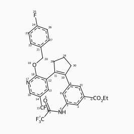 CCOC(=O)c1cc(NC(=O)C(F)(F)F)cc(C2=C(c3cc(C(F)(F)F)cnc3OCc3ccc(F)cc3)CCC2)c1